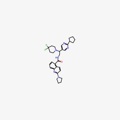 O=C(NCC(c1cnc(C2CCCC2)nc1)N1CCC(F)(F)CC1)c1cccc2nc(N3CCCC3)ccc12